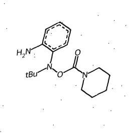 CC(C)(C)N(OC(=O)N1CCCCC1)c1ccccc1N